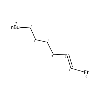 [CH2]C/C=C/CCCCCCCC